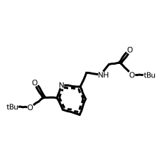 CC(C)(C)OC(=O)CNCc1cccc(C(=O)OC(C)(C)C)n1